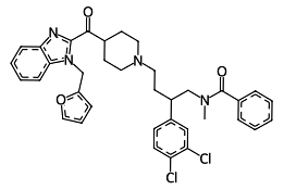 CN(CC(CCN1CCC(C(=O)c2nc3ccccc3n2Cc2ccco2)CC1)c1ccc(Cl)c(Cl)c1)C(=O)c1ccccc1